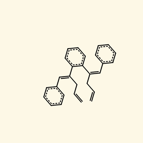 C=CCC(=Cc1ccccc1)c1ccccc1C(=Cc1ccccc1)CC=C